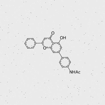 CC(=O)Nc1ccc(-c2cc(O)c3c(=O)cc(-c4ccccc4)oc3c2)cc1